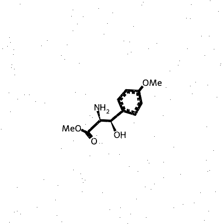 COC(=O)[C@@H](N)[C@H](O)c1ccc(OC)cc1